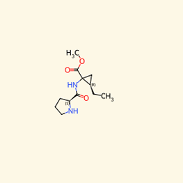 CC[C@@H]1CC1(NC(=O)[C@@H]1CCCN1)C(=O)OC